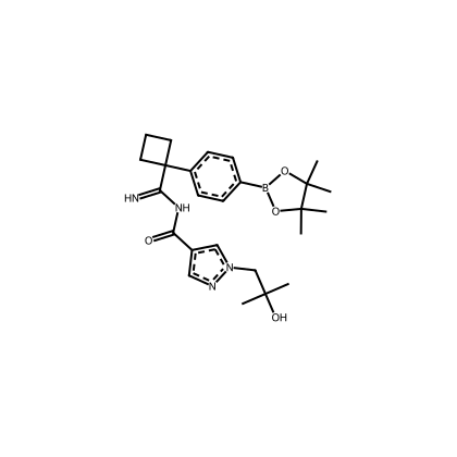 CC(C)(O)Cn1cc(C(=O)NC(=N)C2(c3ccc(B4OC(C)(C)C(C)(C)O4)cc3)CCC2)cn1